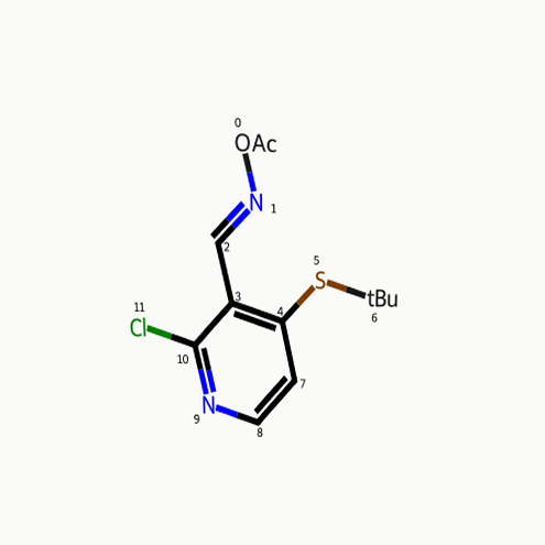 CC(=O)ON=Cc1c(SC(C)(C)C)ccnc1Cl